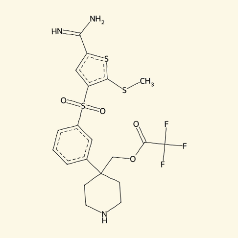 CSc1sc(C(=N)N)cc1S(=O)(=O)c1cccc(C2(COC(=O)C(F)(F)F)CCNCC2)c1